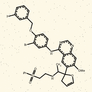 COc1cc2ncnc(Nc3ccc(OCc4cccc(F)c4)c(Br)c3)c2cc1C1(C(C)NCCS(=O)(=O)C(C)C)CC=CO1